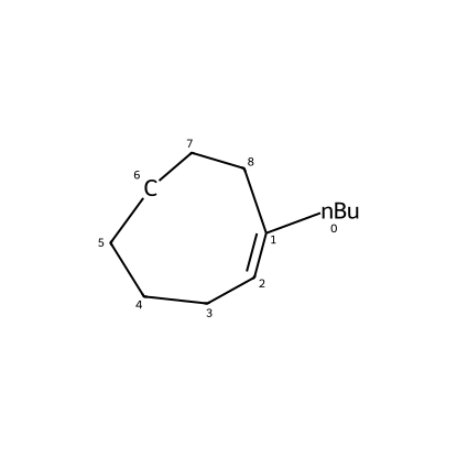 [CH2]CCC/C1=C/CCCCCC1